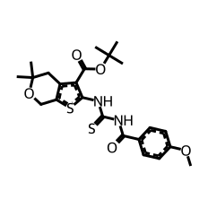 COc1ccc(C(=O)NC(=S)Nc2sc3c(c2C(=O)OC(C)(C)C)CC(C)(C)OC3)cc1